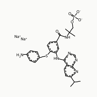 CC(C)c1ccc2c(Nc3cc(C(=O)NC(C)(C)COP(=O)([O-])[O-])ccc3Sc3ccc(N)cc3)ncnc2n1.[Na+].[Na+]